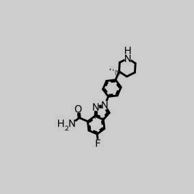 C[C@@]1(c2ccc(-n3cc4cc(F)cc(C(N)=O)c4n3)cc2)CCCNC1